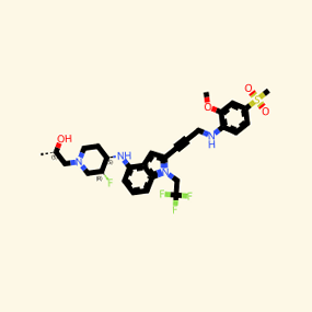 COc1cc(S(C)(=O)=O)ccc1NCC#Cc1cc2c(N[C@H]3CCN(C[C@H](C)O)C[C@H]3F)cccc2n1CC(F)(F)F